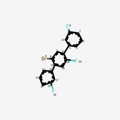 Fc1cccc(-c2cc(Br)c(-c3cccc(F)c3)cc2F)c1